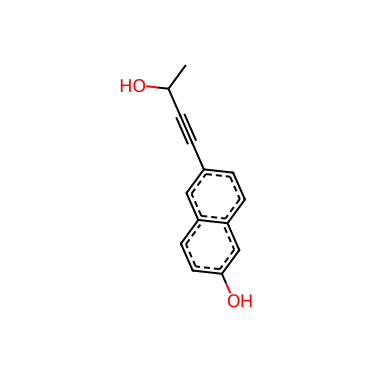 CC(O)C#Cc1ccc2cc(O)ccc2c1